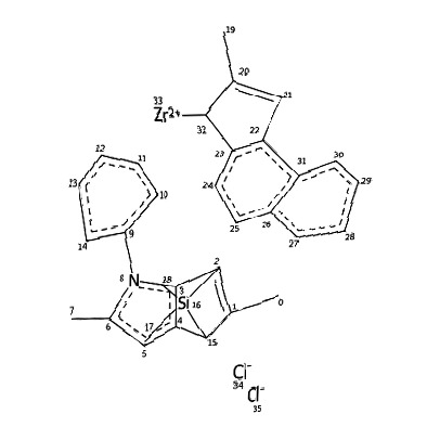 CC1=C2c3c(cc(C)n3-c3ccccc3)C1[Si]2(C)C.CC1=Cc2c(ccc3ccccc23)[CH]1[Zr+2].[Cl-].[Cl-]